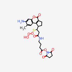 Cc1cc2c3c(c(=O)oc2cc1N)CCC3C(CC(=O)NCCCC(=O)ON1C(=O)CCC1=O)SOOO